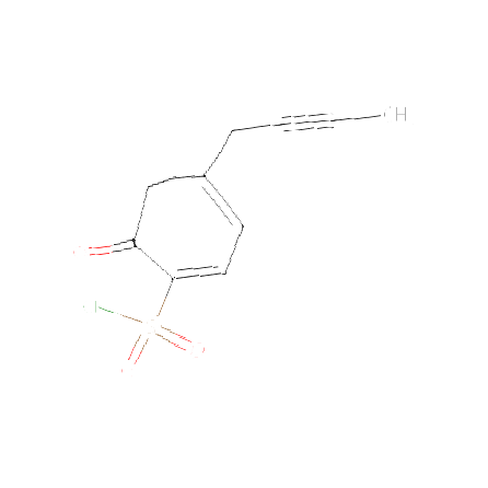 CC#CCC1=CC=C(S(=O)(=O)Cl)C(=O)C1